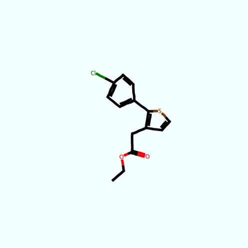 CCOC(=O)Cc1ccsc1-c1ccc(Cl)cc1